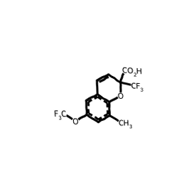 Cc1cc(OC(F)(F)F)cc2c1OC(C(=O)O)(C(F)(F)F)C=C2